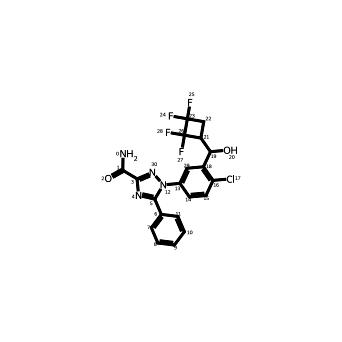 NC(=O)c1nc(-c2ccccc2)n(-c2ccc(Cl)c(C(O)C3CC(F)(F)C3(F)F)c2)n1